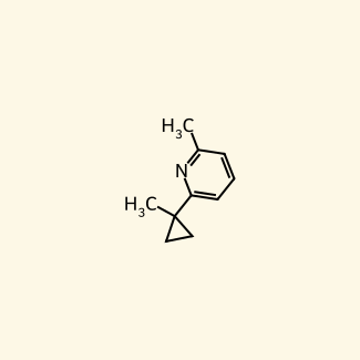 Cc1cccc(C2(C)CC2)n1